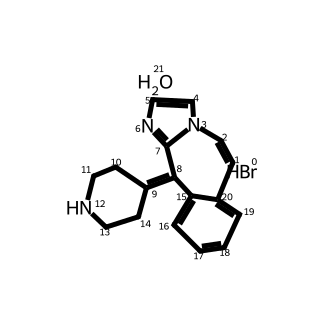 Br.C1=Cn2ccnc2C(=C2CCNCC2)c2ccccc21.O